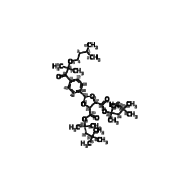 CC(C)CCOC(C)(C)C(=O)c1ccc(C2OC(C(=O)OC(C)(C)CC(C)(C)C)C(C(=O)OC(C)(C)CC(C)(C)C)O2)cc1